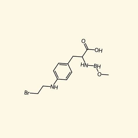 COBNC(Cc1ccc(NCCBr)cc1)C(=O)O